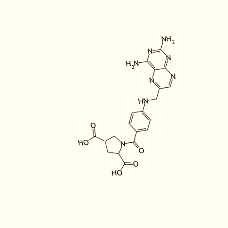 Nc1nc(N)c2nc(CNc3ccc(C(=O)N4CC(C(=O)O)CC4C(=O)O)cc3)cnc2n1